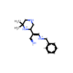 CC1(C)CNCC(/C(C=N)=C/NCc2ccccc2)N1